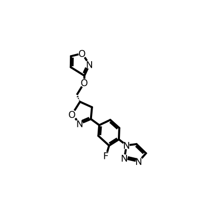 Fc1cc(C2=NO[C@H](COc3ccon3)C2)ccc1-n1ccnn1